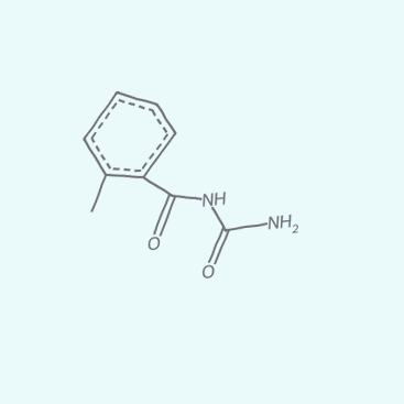 Cc1ccccc1C(=O)NC(N)=O